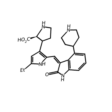 CCc1cc(C2CCN[C@@H]2C(=O)O)c(C=C2C(=O)Nc3cccc(C4CCNCC4)c32)[nH]1